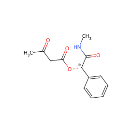 CNC(=O)[C@@H](OC(=O)CC(C)=O)c1ccccc1